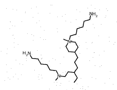 CCC(CCCC1CC[N+](C)(CCCCCCN)CC1)CCN(C)CCCCCCN